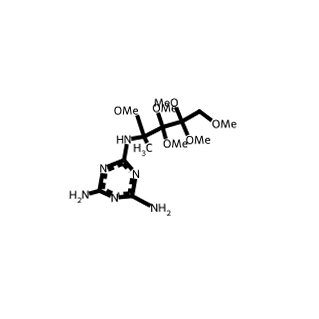 COCC(OC)(OC)C(OC)(OC)C(C)(Nc1nc(N)nc(N)n1)OC